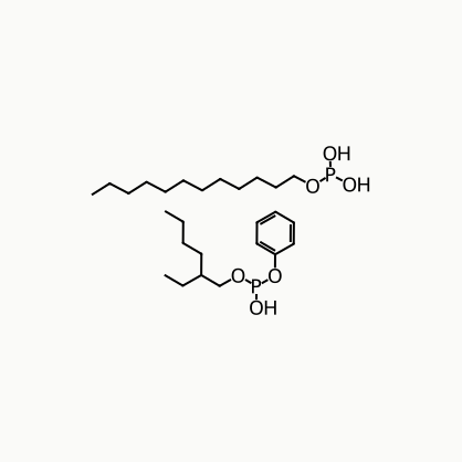 CCCCC(CC)COP(O)Oc1ccccc1.CCCCCCCCCCCCOP(O)O